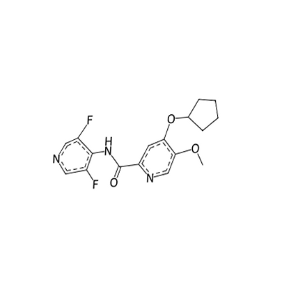 COc1cnc(C(=O)Nc2c(F)cncc2F)cc1OC1CCCC1